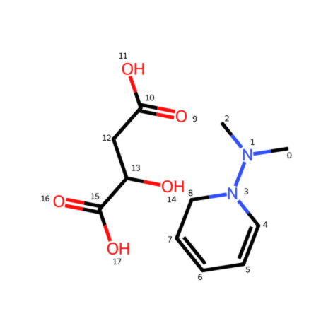 CN(C)N1C=CC=CC1.O=C(O)CC(O)C(=O)O